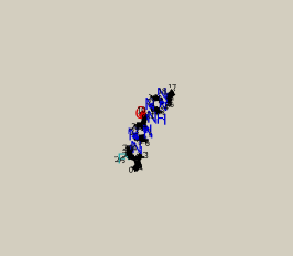 CCC1CN(c2cnc(C(=O)Nc3cn4cc(C)nc4cn3)cn2)CC1F